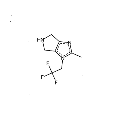 Cc1nc2c(n1CC(F)(F)F)CNC2